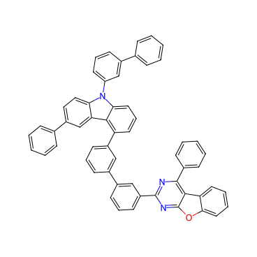 c1ccc(-c2cccc(-n3c4ccc(-c5ccccc5)cc4c4c(-c5cccc(-c6cccc(-c7nc(-c8ccccc8)c8c(n7)oc7ccccc78)c6)c5)cccc43)c2)cc1